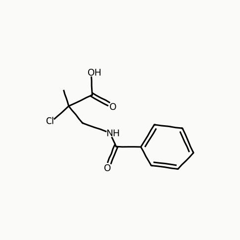 CC(Cl)(CNC(=O)c1ccccc1)C(=O)O